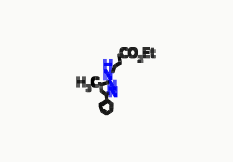 CCOC(=O)CCCCNC1=NN=C(c2ccccc2)CC1C